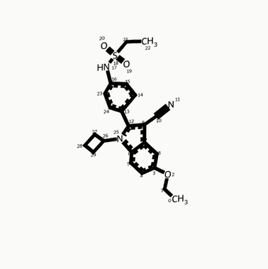 CCOc1ccc2c(c1)c(C#N)c(-c1ccc(NS(=O)(=O)CC)cc1)n2C1CCC1